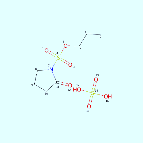 CCCOS(=O)(=O)N1CCCC1=O.O=S(=O)(O)O